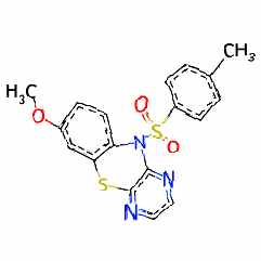 COc1ccc2c(c1)Sc1nccnc1N2S(=O)(=O)c1ccc(C)cc1